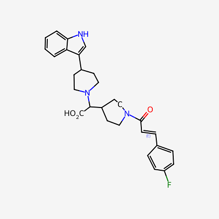 O=C(O)C(C1CCN(C(=O)/C=C/c2ccc(F)cc2)CC1)N1CCC(c2c[nH]c3ccccc23)CC1